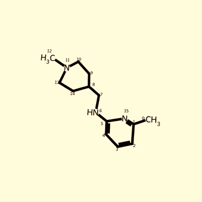 Cc1cccc(NCC2CCN(C)CC2)n1